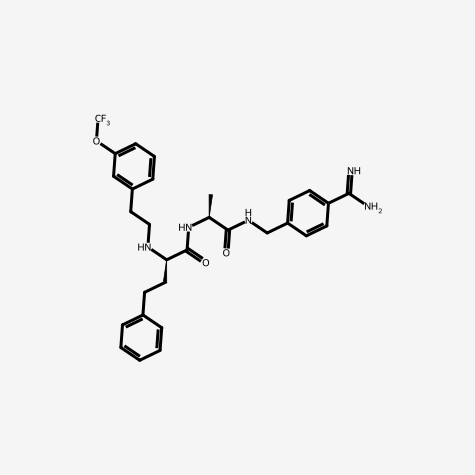 C[C@H](NC(=O)[C@@H](CCc1ccccc1)NCCc1cccc(OC(F)(F)F)c1)C(=O)NCc1ccc(C(=N)N)cc1